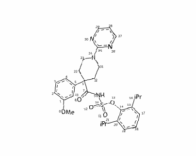 COc1cccc(C2(C(=O)NS(=O)(=O)Oc3c(C(C)C)cccc3C(C)C)CCN(c3ncccn3)CC2)c1